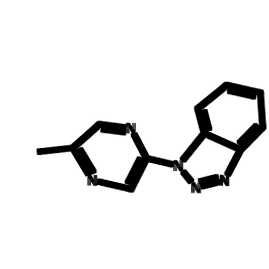 Cc1cnc(-n2nnc3ccccc32)cn1